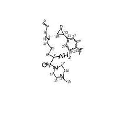 C=CCN(CCC[C@@H](N)C(=O)N1CCN(C)CC1)[C@@H]1C[C@H]1c1ccc(F)cc1